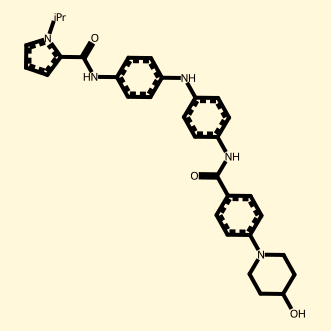 CC(C)n1cccc1C(=O)Nc1ccc(Nc2ccc(NC(=O)c3ccc(N4CCC(O)CC4)cc3)cc2)cc1